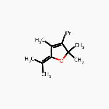 CC(C)=C1OC(C)(C)C(C(C)C)=C1C